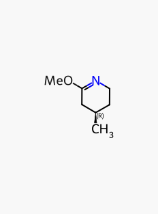 COC1=NCC[C@@H](C)C1